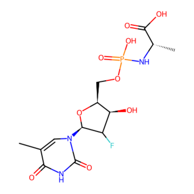 Cc1cn([C@H]2O[C@@H](COP(=O)(O)N[C@@H](C)C(=O)O)[C@@H](O)C2F)c(=O)[nH]c1=O